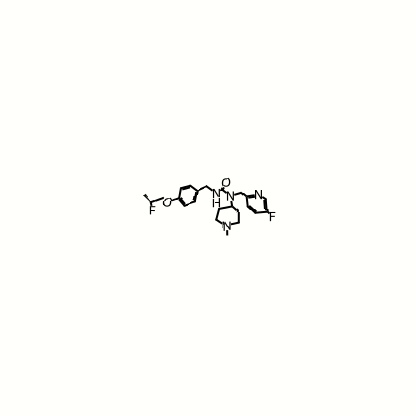 C[C@H](F)COc1ccc(CNC(=O)N(Cc2ccc(F)cn2)C2CCN(C)CC2)cc1